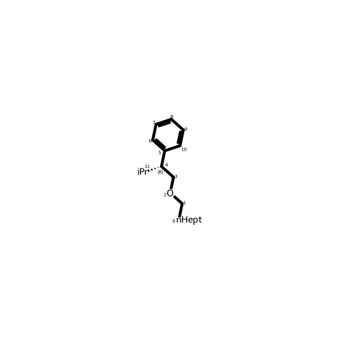 CCCCCCCCOC[C@@H](c1ccccc1)C(C)C